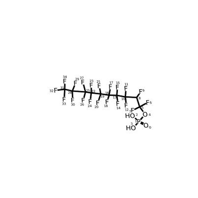 O=P(O)(O)OC(F)(F)C(F)C(F)(F)C(F)(F)C(F)(F)C(F)(F)C(F)(F)C(F)(F)C(F)(F)C(F)(F)F